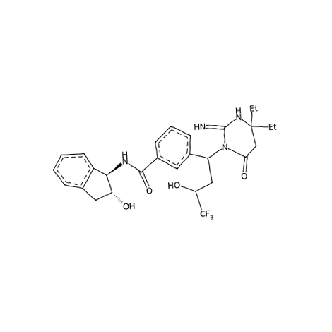 CCC1(CC)CC(=O)N(C(CC(O)C(F)(F)F)c2cccc(C(=O)N[C@@H]3c4ccccc4C[C@H]3O)c2)C(=N)N1